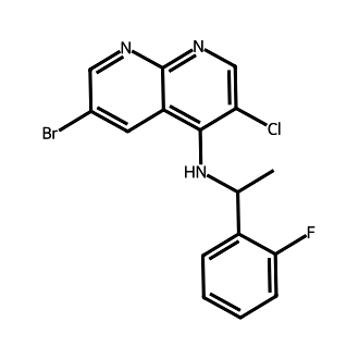 CC(Nc1c(Cl)cnc2ncc(Br)cc12)c1ccccc1F